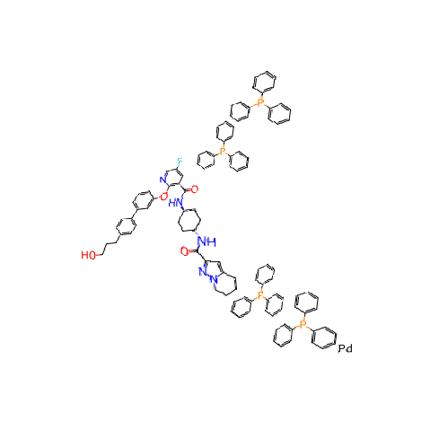 O=C(N[C@H]1CC[C@H](NC(=O)c2cc(F)cnc2Oc2cccc(-c3ccc(CCCO)cc3)c2)CC1)c1cc2n(n1)CCCC2.[Pd].c1ccc(P(c2ccccc2)c2ccccc2)cc1.c1ccc(P(c2ccccc2)c2ccccc2)cc1.c1ccc(P(c2ccccc2)c2ccccc2)cc1.c1ccc(P(c2ccccc2)c2ccccc2)cc1